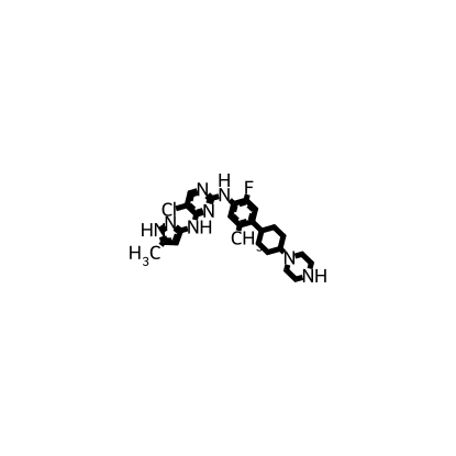 Cc1cc(Nc2nc(Nc3cc(C)c(C4CCC(N5CCNCC5)CC4)cc3F)ncc2Cl)n[nH]1